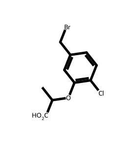 CC(Oc1cc(CBr)ccc1Cl)C(=O)O